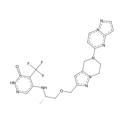 C[C@@H](COCc1cc2n(n1)CCN(c1ccn3nccc3n1)C2)Nc1cn[nH]c(=O)c1C(F)(F)F